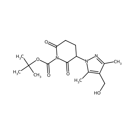 Cc1nn(C2CCC(=O)N(C(=O)OC(C)(C)C)C2=O)c(C)c1CO